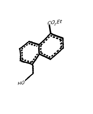 CCOC(=O)c1cccc2c(CO)cccc12